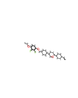 C=CC1CCC(C2CCC(C3CCC(COc4ccc(OCC)c(F)c4F)CC3)CO2)CC1